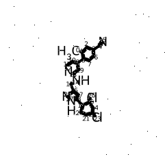 Cc1cc(C#N)ccc1-c1ccnc(NCc2cc(-c3ccc(Cl)cc3Cl)[nH]n2)c1